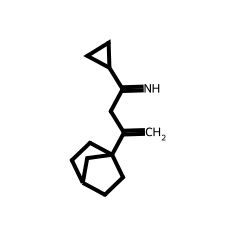 C=C(CC(=N)C1CC1)C12CCC(CC1)C2